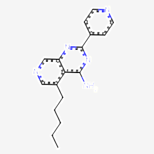 CCCCCc1cncc2nc(-c3ccncc3)nc(N)c12